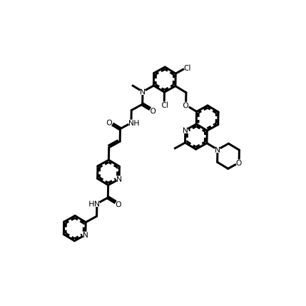 Cc1cc(N2CCOCC2)c2cccc(OCc3c(Cl)ccc(N(C)C(=O)CNC(=O)C=Cc4ccc(C(=O)NCc5ccccn5)nc4)c3Cl)c2n1